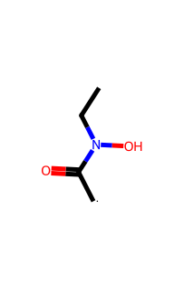 [CH2]C(=O)N(O)CC